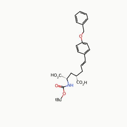 CC(C)(C)OC(=O)N[C@@H](C[C@H](C/C=C/c1ccc(OCc2ccccc2)cc1)C(=O)O)C(=O)O